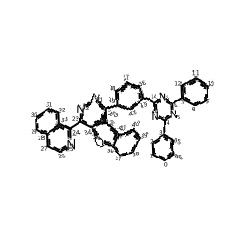 c1ccc(-c2nc(-c3ccccc3)nc(-c3cccc(-c4nnc(-c5nccc6ccccc56)c5oc6ccccc6c45)c3)n2)cc1